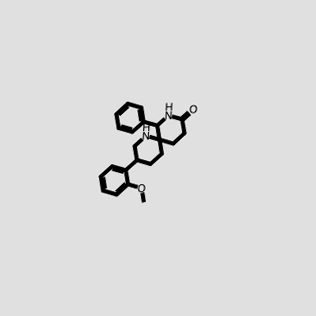 COc1ccccc1C1CCC2(CCC(=O)NC2c2ccccc2)NC1